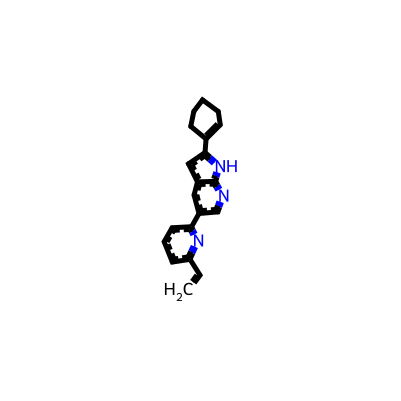 C=Cc1cccc(-c2cnc3[nH]c(C4=CCCCC4)cc3c2)n1